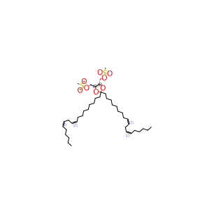 CCCCC/C=C\C/C=C\CCCCCCCCC1(CCCCCCCC/C=C\C/C=C\CCCCC)O[C@@H](COS(C)(=O)=O)[C@H](COS(C)(=O)=O)O1